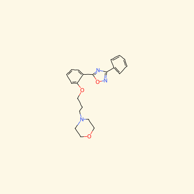 c1ccc(-c2noc(-c3ccccc3OCCCN3CCOCC3)n2)cc1